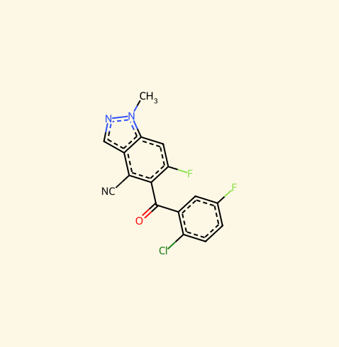 Cn1ncc2c(C#N)c(C(=O)c3cc(F)ccc3Cl)c(F)cc21